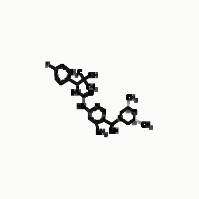 C[C@@H]1CN(C(=N)c2cnc(NC(=O)NC(c3ccc(F)cc3)C(C)(C)O)cc2N)C[C@H](C)O1